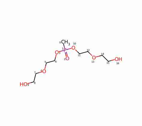 CP(=O)(OCCOCCO)OCCOCCO